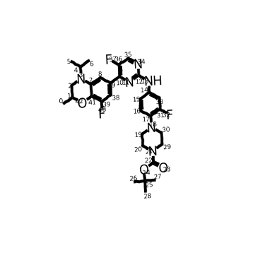 CC1CN(C(C)C)c2cc(-c3nc(Nc4ccc(N5CCN(C(=O)OC(C)(C)C)CC5)c(F)c4)ncc3F)cc(F)c2O1